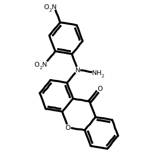 NN(c1ccc([N+](=O)[O-])cc1[N+](=O)[O-])c1cccc2oc3ccccc3c(=O)c12